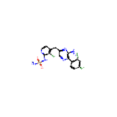 CNS(=O)(=O)Nc1nccc(Cc2cnc(-c3ccc(Cl)cc3F)c(N)n2)c1F